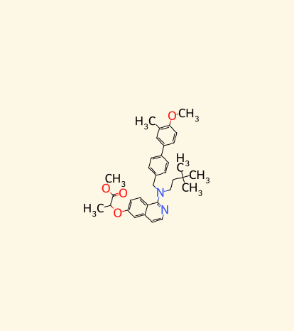 COC(=O)C(C)Oc1ccc2c(N(CCC(C)(C)C)Cc3ccc(-c4ccc(OC)c(C)c4)cc3)nccc2c1